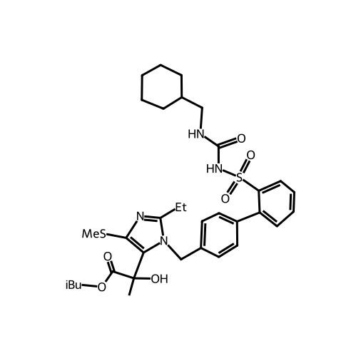 CCc1nc(SC)c(C(C)(O)C(=O)OC(C)CC)n1Cc1ccc(-c2ccccc2S(=O)(=O)NC(=O)NCC2CCCCC2)cc1